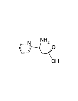 NC(CC(=O)O)c1ccccn1